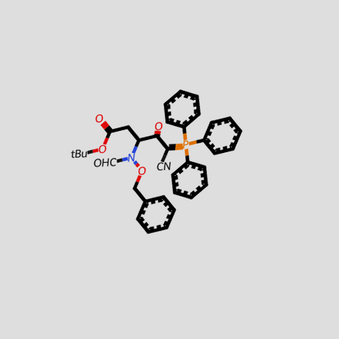 CC(C)(C)OC(=O)CC(C(=O)C(C#N)=P(c1ccccc1)(c1ccccc1)c1ccccc1)N(C=O)OCc1ccccc1